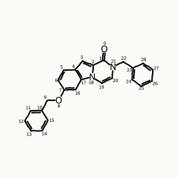 O=c1c2cc3ccc(OCc4ccccc4)cc3n2ccn1Cc1ccccc1